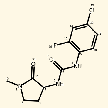 CN1CCC(NC(=O)Nc2ccc(Cl)cc2F)C1=O